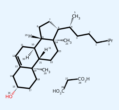 CC(C)CCC[C@@H](C)[C@H]1CC[C@H]2[C@@H]3CC=C4C[C@@H](O)CC[C@]4(C)[C@H]3CC[C@]12C.O=C(O)CC(=O)O